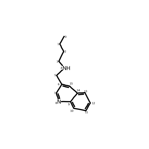 CCCCNCc1cnc2ccccc2c1